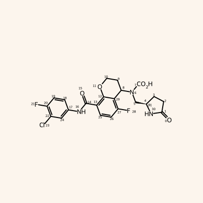 O=C1CC[C@H](CN(C(=O)O)C2CCOc3c(C(=O)Nc4ccc(F)c(Cl)c4)ccc(F)c32)N1